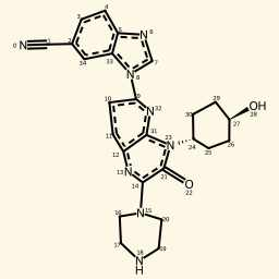 N#Cc1ccc2ncn(-c3ccc4nc(N5CCNCC5)c(=O)n([C@H]5CC[C@H](O)CC5)c4n3)c2c1